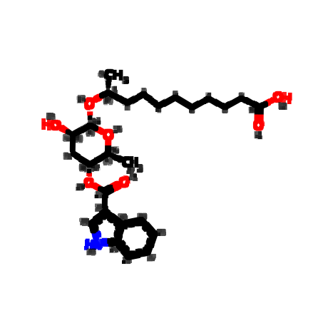 C[C@H](CCCCCCCCC(=O)O)O[C@@H]1O[C@@H](C)[C@H](OC(=O)c2c[nH]c3ccccc23)C[C@H]1O